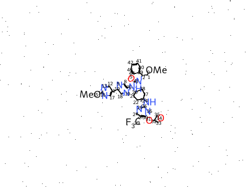 COC[C@@H](NC(=O)N(c1cnc(-c2cnc(OC)nc2)cn1)[C@H]1CC[C@H](Nc2ncc(C(F)(F)F)c(OC3COC3)n2)CC1)c1ccccc1